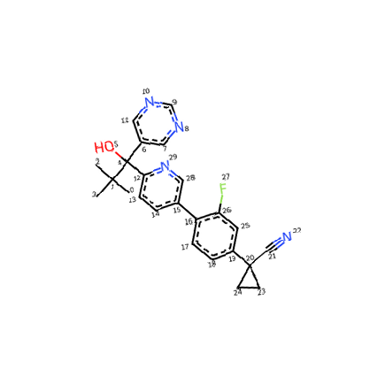 CC(C)(C)C(O)(c1cncnc1)c1ccc(-c2ccc(C3(C#N)CC3)cc2F)cn1